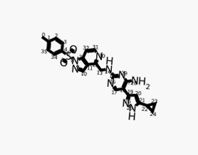 Cc1ccc(S(=O)(=O)n2ncc3c(CNc4ncc(-c5cc(C6CC6)[nH]n5)c(N)n4)nccc32)cc1